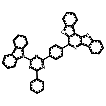 c1ccc(-c2nc(-c3ccc(-c4nc5c6ccccc6sc5c5c4oc4ccccc45)cc3)nc(-n3c4ccccc4c4ccccc43)n2)cc1